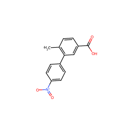 [CH2]c1ccc(C(=O)O)cc1-c1ccc([N+](=O)[O-])cc1